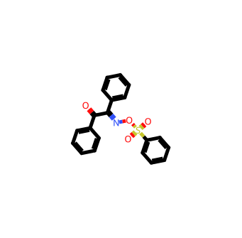 O=C(/C(=N/OS(=O)(=O)c1ccccc1)c1ccccc1)c1ccccc1